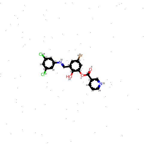 O=C(Oc1cc(Br)cc(C=Nc2cc(Cl)cc(Cl)c2)c1O)c1cccnc1